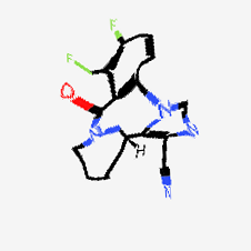 N#Cc1ncn2c1[C@@H]1CCCN1C(=O)c1c-2ccc(F)c1F